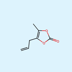 C=CCc1oc(=O)oc1C